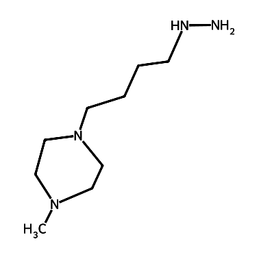 CN1CCN(CCCCNN)CC1